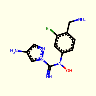 N=C(N(O)c1ccc(CN)c(Br)c1)n1cc(N)cn1